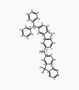 CC1(C)c2ccccc2-c2ccc(Nc3ccc4sc5ccc(N(c6ccccc6)c6ccccc6)cc5c4c3)cc21